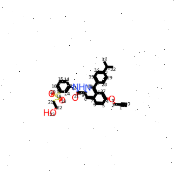 C#CCOc1ccc2cc(C(=O)Nc3cccc(S(=O)(=O)CCO)c3)nc(-c3ccc(C(C)C)cc3)c2c1